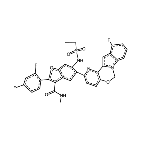 CCS(=O)(=O)Nc1cc2oc(-c3ccc(F)cc3F)c(C(=O)NC)c2cc1-c1ccc2c(n1)-c1cc3c(F)cccc3n1CO2